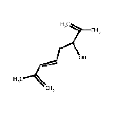 C=C(C)/C=C/CC(O)C(=C)C